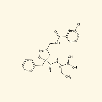 CC[C@H](NC(=O)C1(Cc2ccccc2)CC(CNC(=O)c2cccc(Cl)n2)=NO1)B(O)O